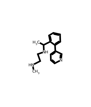 CNCCNC(C)c1ccccc1-c1cccnc1